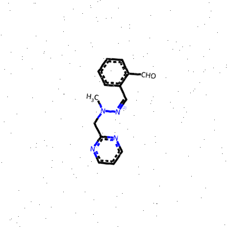 CN(Cc1ncccn1)/N=C\c1ccccc1C=O